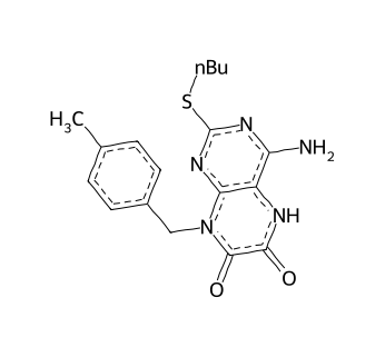 CCCCSc1nc(N)c2[nH]c(=O)c(=O)n(Cc3ccc(C)cc3)c2n1